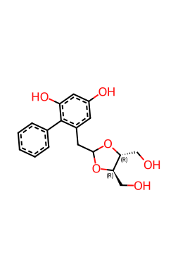 OC[C@H]1OC(Cc2cc(O)cc(O)c2-c2ccccc2)O[C@@H]1CO